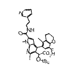 Cc1nc2c(cc(C(=O)NCCc3cccnc3)n2C)c(-c2cc(F)c3c(c2C)CCCO3)c1[C@H](OC(C)(C)C)C(=O)O